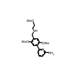 COCCNCc1cc(OC)c(-c2cccc(N)n2)cc1OC